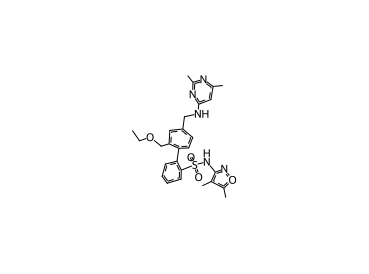 CCOCc1cc(CNc2cc(C)nc(C)n2)ccc1-c1ccccc1S(=O)(=O)Nc1noc(C)c1C